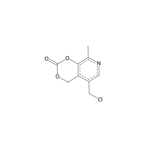 Cc1ncc(CCl)c2c1OC(=O)OC2